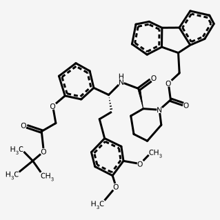 COc1ccc(CC[C@@H](NC(=O)[C@@H]2CCCCN2C(=O)OCC2c3ccccc3-c3ccccc32)c2cccc(OCC(=O)OC(C)(C)C)c2)cc1OC